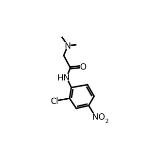 CN(C)CC(=O)Nc1ccc([N+](=O)[O-])cc1Cl